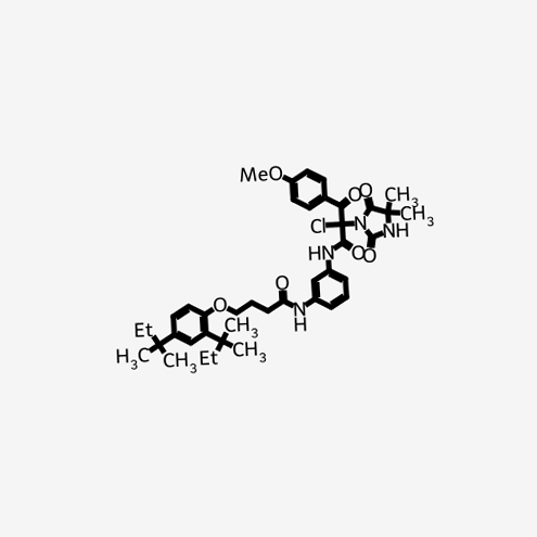 CCC(C)(C)c1ccc(OCCCC(=O)Nc2cccc(NC(=O)C(Cl)(C(=O)c3ccc(OC)cc3)N3C(=O)NC(C)(C)C3=O)c2)c(C(C)(C)CC)c1